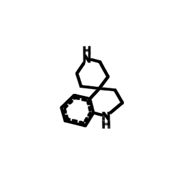 c1ccc2c(c1)NCCC21CCNCC1